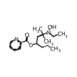 CCCC(CC(C)(C)N(O)CC)OC(=O)c1ccccn1